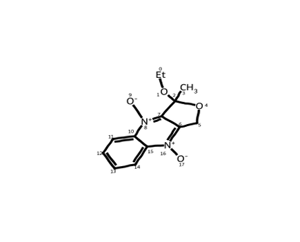 CCOC1(C)OCc2c1[n+]([O-])c1ccccc1[n+]2[O-]